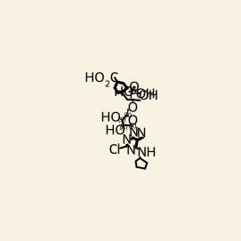 O=C(O)c1ccc(CC(CO)(OC[C@H]2O[C@@H](n3ncc4c(NC5CCCC5)nc(Cl)nc43)[C@H](O)[C@@H]2O)P(=O)(O)O)cc1